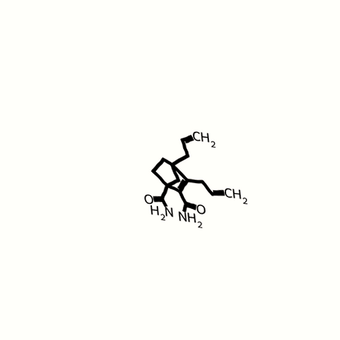 C=CCC1=C(C(N)=O)C2(C(N)=O)CCC1(CC=C)C2